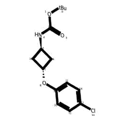 CC(C)(C)OC(=O)N[C@H]1C[C@H](Oc2ccc(Cl)cc2)C1